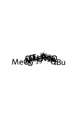 CON(C)C(=O)/C(C)=C/C(F)=C/COc1cccc(C2CCN(C(=O)OC(C)(C)C)CC2)n1